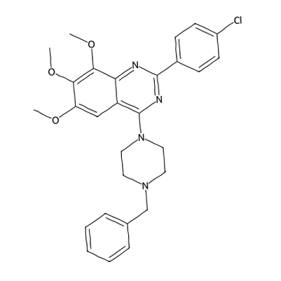 COc1cc2c(N3CCN(Cc4ccccc4)CC3)nc(-c3ccc(Cl)cc3)nc2c(OC)c1OC